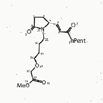 CCCCCC(=O)C=C[C@H]1CCC(=O)N1CCCCOCC(=O)OC